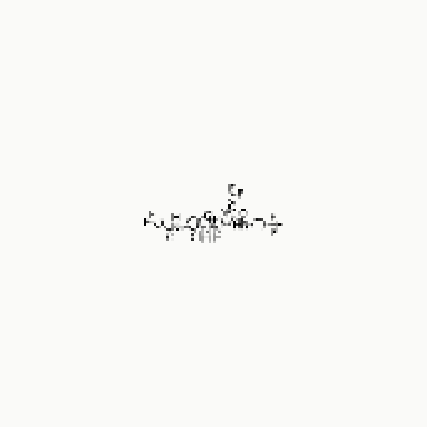 O=C(N[C@H]1CC[C@H](C(F)(F)F)CC1)c1cc2[nH]c(Nc3c(Cl)ccc(CNC(=O)C4CC(F)(F)C4)c3Cl)nc2nc1OCC(F)F